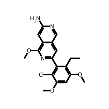 CCc1c(OC)cc(OC)c(Cl)c1-c1cc2cnc(N)cc2c(OC)n1